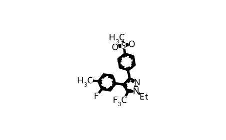 CCn1nc(-c2ccc(S(C)(=O)=O)cc2)c(-c2ccc(C)c(F)c2)c1C(F)(F)F